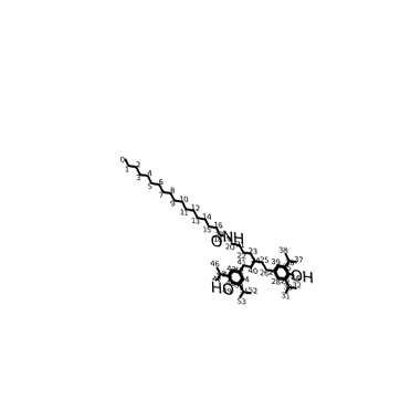 CCCCCCCCCCCCCCCCCC(=O)NCCCCC(CCc1cc(C(C)C)c(O)c(C(C)C)c1)CCc1cc(C(C)C)c(O)c(C(C)C)c1